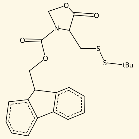 CC(C)(C)SSCC1C(=O)OCN1C(=O)OCC1c2ccccc2-c2ccccc21